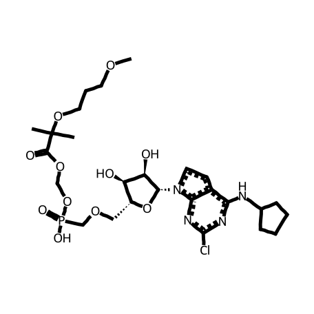 COCCCOC(C)(C)C(=O)OCOP(=O)(O)COC[C@H]1O[C@@H](n2ccc3c(NC4CCCC4)nc(Cl)nc32)[C@H](O)[C@@H]1O